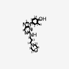 Cc1cc(-n2cnc3cnc(NCCCN4CCOCC4)nc32)ccc1O